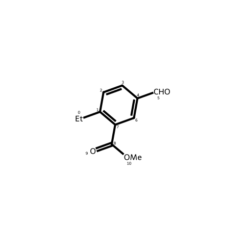 CCc1ccc(C=O)cc1C(=O)OC